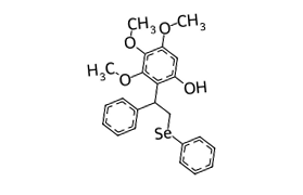 COc1cc(O)c(C(C[Se]c2ccccc2)c2ccccc2)c(OC)c1OC